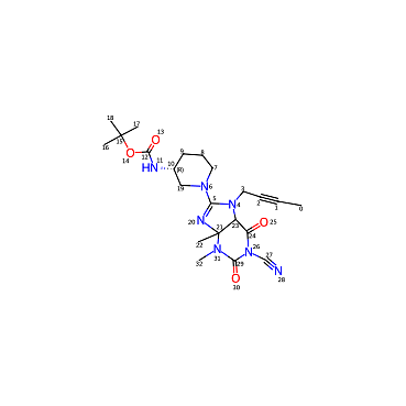 CC#CCN1C(N2CCC[C@@H](NC(=O)OC(C)(C)C)C2)=NC2(C)C1C(=O)N(C#N)C(=O)N2C